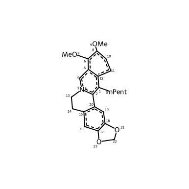 CCCCCc1c2[n+](cc3c(OC)c(OC)ccc13)CCc1cc3c(cc1-2)OCO3